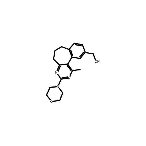 Cc1nc(N2CCOCC2)nc2c1-c1cc(CO)ccc1CCC2